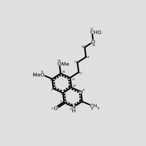 COc1cc2c(=O)[nH]c(C)nc2c(CCCCOC=O)c1OC